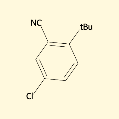 CC(C)(C)c1ccc(Cl)cc1C#N